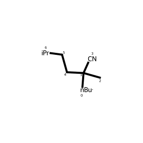 CCC[CH]C(C)(C#N)CCC(C)C